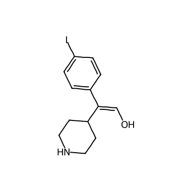 OC=C(c1ccc(I)cc1)C1CCNCC1